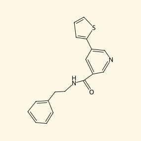 O=C(NCCc1ccccc1)c1cncc(-c2cccs2)c1